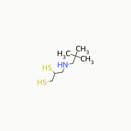 CC(C)(C)CNCC(S)CS